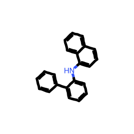 c1ccc(-c2ccccc2Nc2cccc3ccccc23)cc1